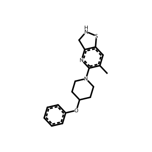 Cc1cc2c(nc1N1CCC(Oc3ccccc3)CC1)CNS2